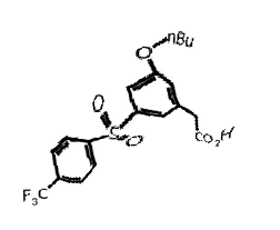 CCCCOc1cc(CC(=O)O)cc(S(=O)(=O)c2ccc(C(F)(F)F)cc2)c1